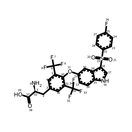 N[C@@H](Cc1cc(C(F)(F)F)c(Oc2ccc3[nH]cc(S(=O)(=O)c4ccc(F)cc4)c3c2)c(C(F)(F)F)c1)C(=O)O